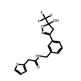 O=C(Cc1cccs1)NCc1cccc(C2=NOC(O)(C(F)(F)F)C2)c1